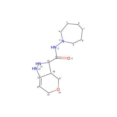 O=C(NN1CCCCCC1)C1NNC2=CCOCC21